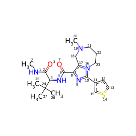 CNC(=O)[C@@H](NC(=O)c1nc(-c2ccsc2)n2c1CN(C)CCC2)C(C)(C)C